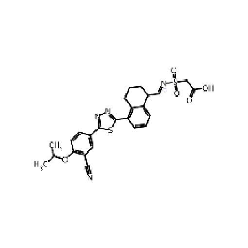 CC(C)Oc1ccc(-c2nnc(-c3cccc4c3CCCC4/C=N/S(=O)(=O)CC(=O)O)s2)cc1C#N